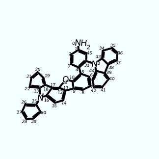 Nc1ccc(-c2cccc3c2oc2c3ccc3c2c2ccccc2n3-c2ccccc2)c(-n2c3ccccc3c3ccccc32)c1